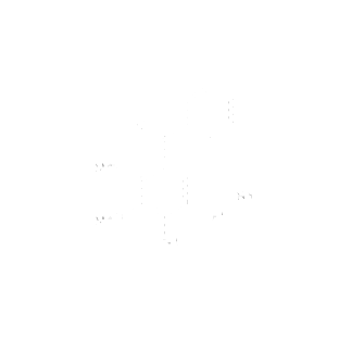 COc1c(C(=O)c2ccccc2)cc(O)c(O)c1OC.[Na]